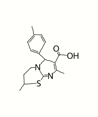 CC1=C(C(=O)O)C(c2ccc(C)cc2)N2CCC(C)SC2=N1